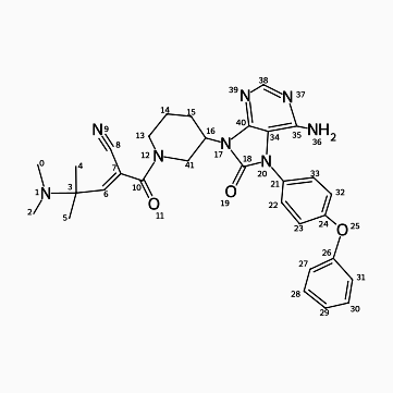 CN(C)C(C)(C)C=C(C#N)C(=O)N1CCCC(n2c(=O)n(-c3ccc(Oc4ccccc4)cc3)c3c(N)ncnc32)C1